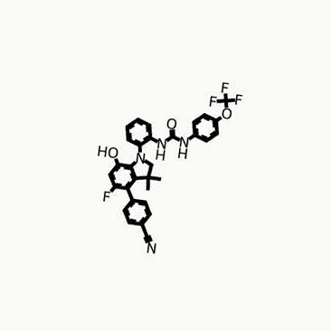 CC1(C)CN(c2ccccc2NC(=O)Nc2ccc(OC(F)(F)F)cc2)c2c(O)cc(F)c(-c3ccc(C#N)cc3)c21